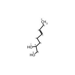 CCC=CCCC(O)CO